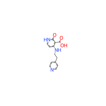 O=C(O)c1c(NCCc2ccncc2)cc[nH]c1=O